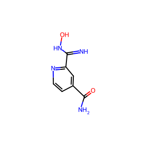 N=C(NO)c1cc(C(N)=O)ccn1